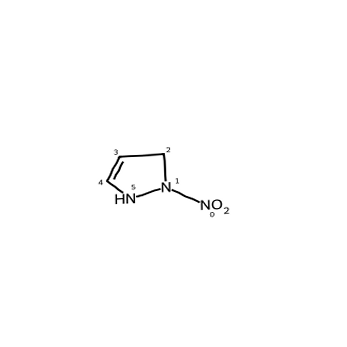 O=[N+]([O-])N1CC=CN1